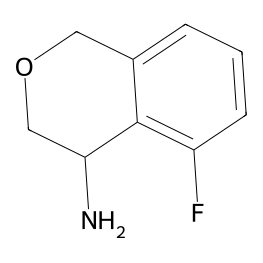 NC1COCc2cccc(F)c21